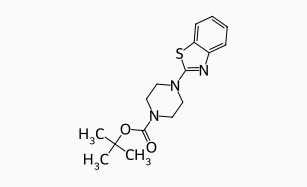 CC(C)(C)OC(=O)N1CCN(c2nc3ccccc3s2)CC1